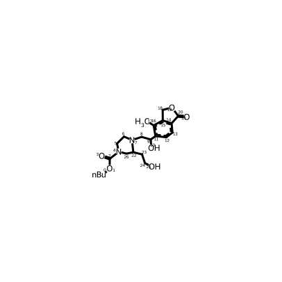 CCCCOC(=O)N1CCN(CC(O)c2ccc3c(c2C)COC3=O)C(CCO)C1